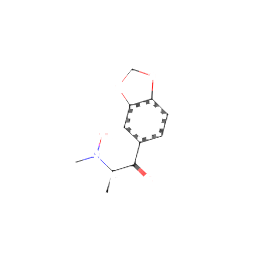 C[C@H](C(=O)c1ccc2c(c1)OCO2)N(C)O